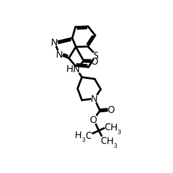 CC(C)(C)OC(=O)N1CCC(NC(=O)C23C4=CC=CC2=NN=C3C=CS4)CC1